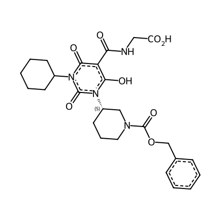 O=C(O)CNC(=O)c1c(O)n([C@H]2CCCN(C(=O)OCc3ccccc3)C2)c(=O)n(C2CCCCC2)c1=O